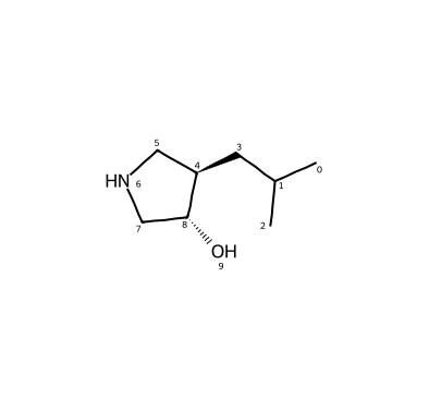 CC(C)C[C@@H]1CNC[C@H]1O